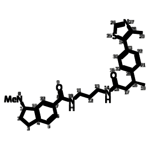 CN[C@@H]1CCc2ccc(C(=O)NCCCNC(=O)C[C@H](C)c3ccc(-c4scnc4C)cc3)cc21